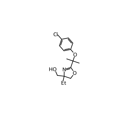 CCC1(CO)COC(C(C)(C)Oc2ccc(Cl)cc2)=N1